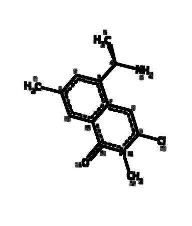 Cc1cc([C@@H](C)N)c2cc(Cl)n(C)c(=O)c2c1